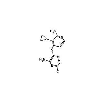 Nc1nc(Cl)cnc1Sc1ccnc(N)c1C1CC1